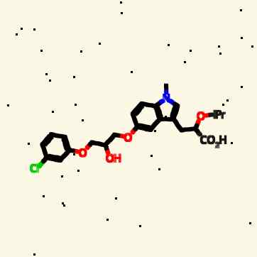 CC(C)OC(Cc1cn(C)c2ccc(OCC(O)COc3cccc(Cl)c3)cc12)C(=O)O